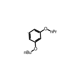 CCCCOc1c[c]cc(OCCC)c1